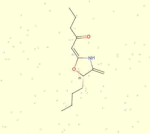 C=C1N/C(=C\C(=O)CCC)O[C@H]1CCCC